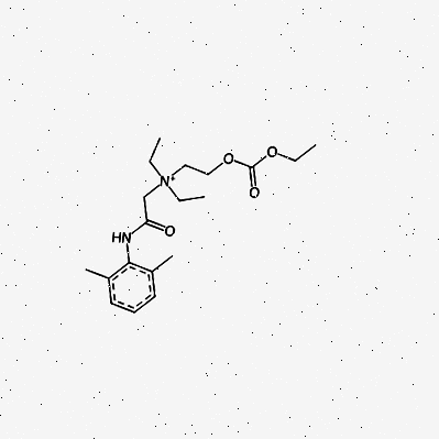 CCOC(=O)OCC[N+](CC)(CC)CC(=O)Nc1c(C)cccc1C